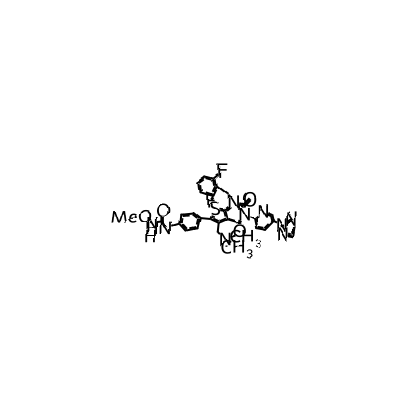 CONC(=O)Nc1ccc(-c2sc3c(c2CN(C)C)c(=O)n(-c2ccc(-n4nccn4)cn2)c(=O)n3Cc2c(F)cccc2F)cc1